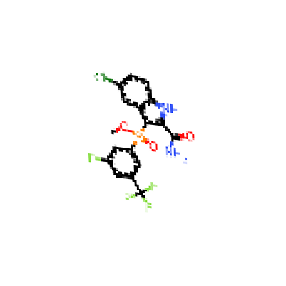 COP(=O)(c1cc(F)cc(C(F)(F)F)c1)c1c(C(N)=O)[nH]c2ccc(Cl)cc12